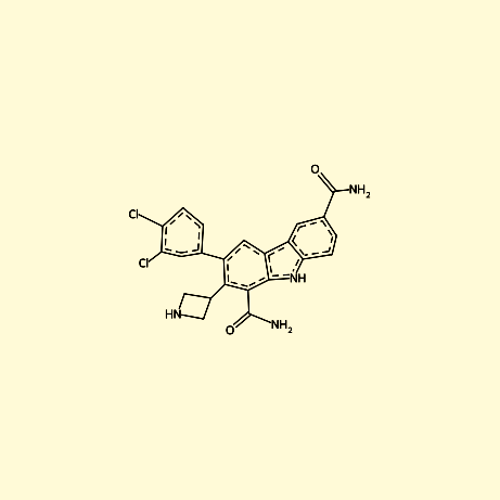 NC(=O)c1ccc2[nH]c3c(C(N)=O)c(C4CNC4)c(-c4ccc(Cl)c(Cl)c4)cc3c2c1